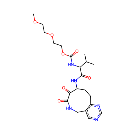 COCCOCCOC(=O)NC(C(=O)NC1CCc2ncncc2CNC(=O)C1=O)C(C)C